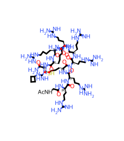 CC(=O)NCC(=O)N[C@H](CCCNC(=N)N)C(=O)N[C@H](CCCNC(=N)N)C(=O)N[C@H](CCCCNC(=N)NC1CCC1)C(=O)N[C@H](CCCNC(=N)N)C(=O)N[C@H](CCCNC(=N)N)C(=O)N[C@H](CCCNC(=N)N)C(=O)N[C@H](CCCCNC(=N)N)C(=O)N[C@H](CCCCC(=N)N)C(=O)N[C@H](CS)C(N)=O